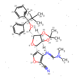 CN(C)/C=N/c1c([C@@H]2O[C@H](CO[Si](c3ccccc3)(c3ccccc3)C(C)(C)C)[C@H]3OC(C)(C)O[C@H]32)coc1C#N